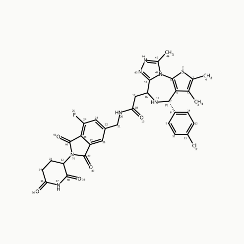 Cc1sc2c(c1C)[C@H](c1ccc(Cl)cc1)NC(CC(=O)NCc1cc(F)c3c(c1)C(=O)N(C1CCC(=O)NC1=O)C3=O)c1nnc(C)n1-2